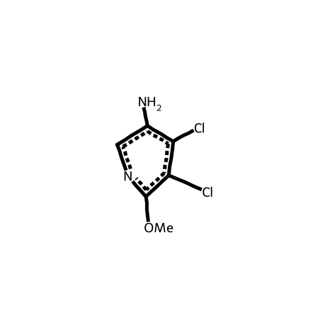 COc1ncc(N)c(Cl)c1Cl